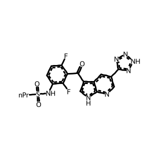 CCCS(=O)(=O)Nc1ccc(F)c(C(=O)c2c[nH]c3ncc(-c4nn[nH]n4)cc23)c1F